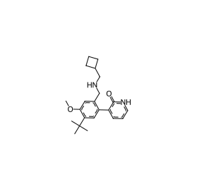 COc1cc(CNCC2CCC2)c(-c2ccc[nH]c2=O)cc1C(C)(C)C